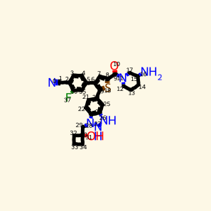 N#Cc1ccc(-c2cc(C(=O)N3CCCC(N)C3)sc2-c2ccc3c(c2)NNN3CC2(O)CCC2)cc1F